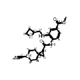 COC(=O)c1ccc(NC(=O)C2CC23CCB(C#N)CC3)c(NCC2CCO2)c1